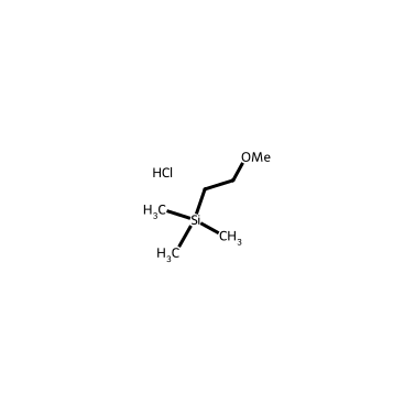 COCC[Si](C)(C)C.Cl